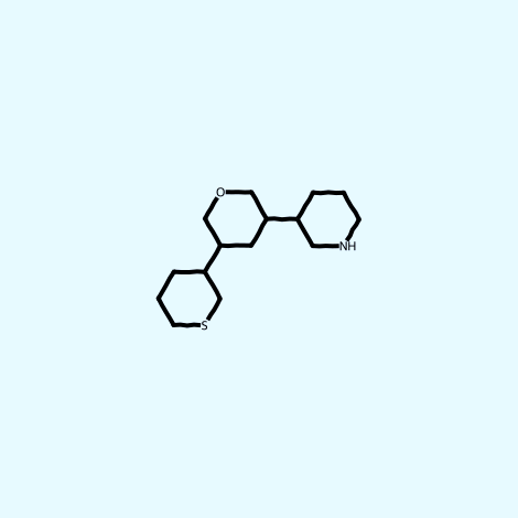 C1CNCC(C2COCC(C3CCCSC3)C2)C1